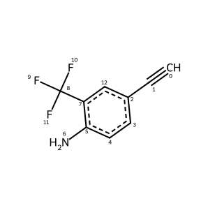 C#Cc1ccc(N)c(C(F)(F)F)c1